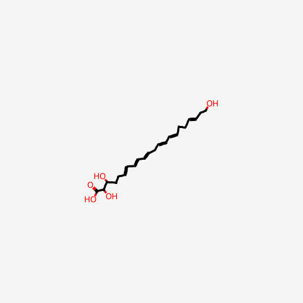 O=C(O)C(O)C(O)CCC=CC=CC=CCC=CC=CCCC=CCCO